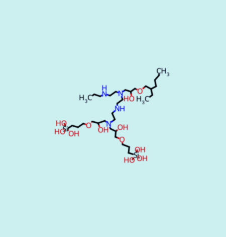 CCCCC(CC)COCC(O)CN(CCNCCC)CCNCCN(CC(O)COCCC[Si](O)(O)O)CC(O)COCCC[Si](O)(O)O